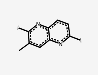 Cc1cc2nc(I)ccc2nc1I